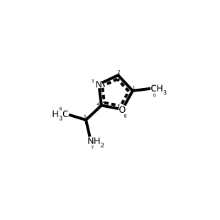 Cc1cnc(C(C)N)o1